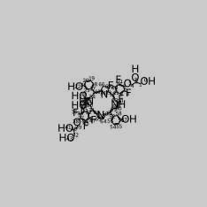 OCC(O)COc1c(F)c(F)c(-c2c3nc(c(-c4cccc(O)c4)c4[nH]c(c(O)c4O)c(-c4c(F)c(F)c(OCC(O)CO)c(F)c4F)c4nc(c(-c5cccc(O)c5)c5ccc2[nH]5)C=C4)CC3)c(F)c1F